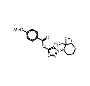 COc1ccc(C(=O)[N-]c2c[n+](N3CCSCC3(C)C)no2)cc1